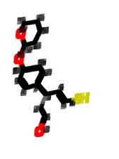 O=CC[C@@H](/C=C/S)c1ccc(OC2CCCCO2)cc1